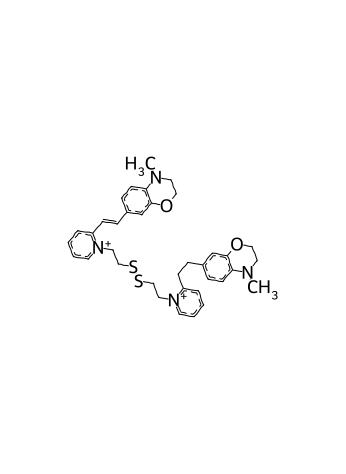 CN1CCOc2cc(/C=C/c3cccc[n+]3CCSSCC[n+]3ccccc3CCc3ccc4c(c3)OCCN4C)ccc21